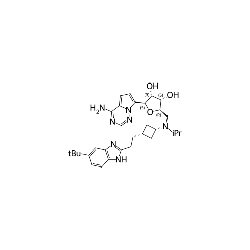 CC(C)N(C[C@H]1O[C@@H](c2ccc3c(N)ncnn23)[C@H](O)[C@@H]1O)[C@H]1C[C@@H](CCc2nc3cc(C(C)(C)C)ccc3[nH]2)C1